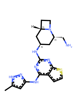 Cc1cc(Nc2nc(N[C@@H]3C[C@@H](CN)N4CC[C@H]4C3)nc3sccc23)n[nH]1